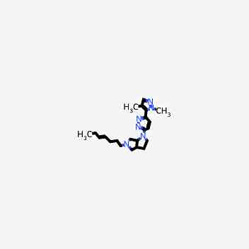 CCC=CCCCN1CC2CCN(c3ccc(-c4c(C)cnn4C)nn3)C2C1